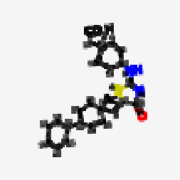 CC(=O)C1(C=C2SC(Nc3ccc(CC(=O)O)cc3)=NC2=O)C=CC(c2ccccc2)=CC1